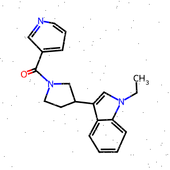 CCn1cc(C2CCN(C(=O)c3cccnc3)C2)c2ccccc21